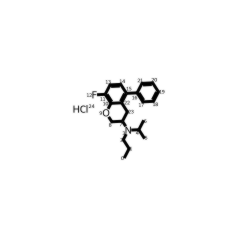 CCCN(C(C)C)C1COc2c(F)ccc(-c3ccccc3)c2C1.Cl